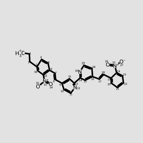 CCCc1ccc(/C=C/c2ccnc(-c3cc(/C=C/c4ccccc4[N+](=O)[O-])ccn3)c2)c([N+](=O)[O-])c1